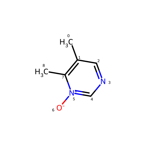 Cc1cnc[n+]([O-])c1C